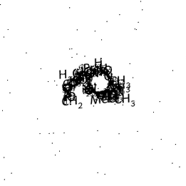 C=CC(=O)N1CCOC2(CCN(C(=O)N(C)[C@H](C(=O)N[C@H]3Cc4nccc(n4)-c4ccc5c(c4)c(c(-c4cccnc4[C@H](C)OC)n5CC)CC(C)(C)COC(=O)[C@@H]4CCCN(N4)C3=O)C(C)C)CC2)C1